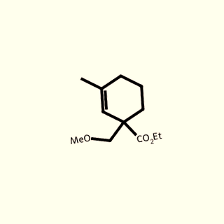 CCOC(=O)C1(COC)C=C(C)CCC1